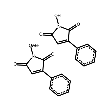 CON1C(=O)C=C(c2ccccc2)C1=O.O=C1C=C(c2ccccc2)C(=O)N1O